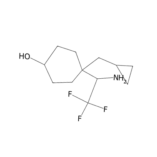 NC(C(F)(F)F)C1(CC2CC2)CCC(O)CC1